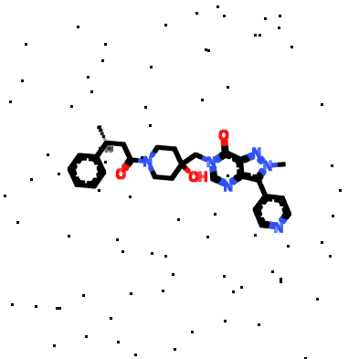 C[C@H](CC(=O)N1CCC(O)(Cn2cnc3c(-c4ccncc4)n(C)nc3c2=O)CC1)c1ccccc1